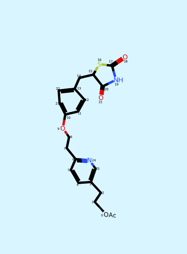 CC(=O)OCCc1ccc(CCOc2ccc(CC3SC(=O)NC3=O)cc2)nc1